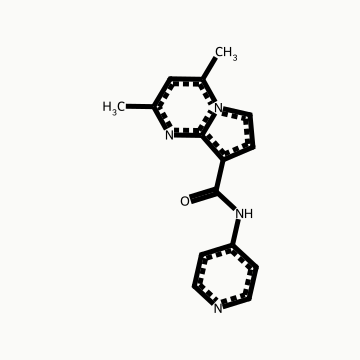 Cc1cc(C)n2ccc(C(=O)Nc3ccncc3)c2n1